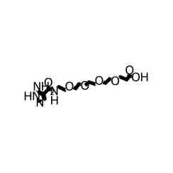 Nc1[nH]ncc1C(=O)NCCOCCOCCOCCOCCC(=O)O